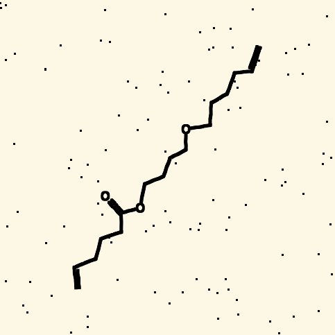 C=CCCCCOCCCCOC(=O)CCCC=C